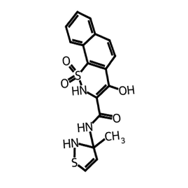 CC1(NC(=O)C2=C(O)c3ccc4ccccc4c3S(=O)(=O)N2)C=CSN1